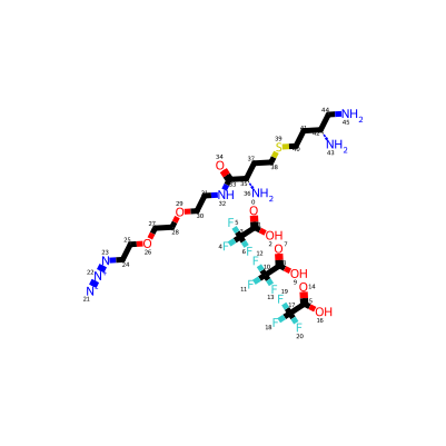 O=C(O)C(F)(F)F.O=C(O)C(F)(F)F.O=C(O)C(F)(F)F.[N-]=[N+]=NCCOCCOCCNC(=O)[C@@H](N)CCSCC[C@@H](N)CN